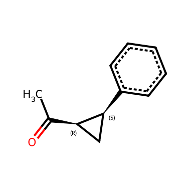 CC(=O)[C@@H]1C[C@@H]1c1ccccc1